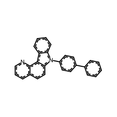 c1ccc(-c2ccc(-n3c4ccccc4c4c5ncccc5ccc43)cc2)cc1